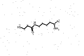 CC(=O)[C@@H](N)CCCCNC(=O)CCS